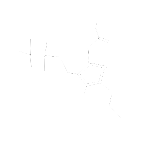 CCOc1nn(CC(=O)O)c(CO[Si](C)(C)C(C)(C)C)c1I